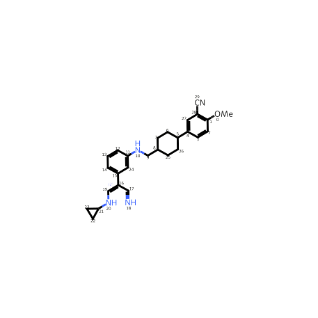 COc1ccc(C2CCC(CNc3cccc(/C(C=N)=C/NC4CC4)c3)CC2)cc1C#N